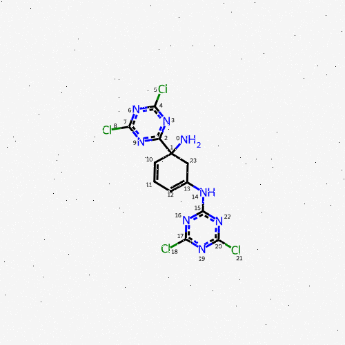 NC1(c2nc(Cl)nc(Cl)n2)C=CC=C(Nc2nc(Cl)nc(Cl)n2)C1